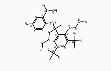 CCCCC(C)(Pc1ccc(C)cc1C(C)O)c1cc(C(C)(C)C)cc(C(C)(C)C)c1OCOC